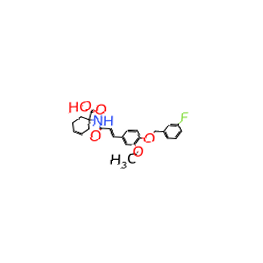 COc1cc(C=CC(=O)NC2(C(=O)O)CCCCC2)ccc1OCc1cccc(F)c1